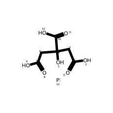 O=C(O)CC(O)(CC(=O)O)C(=O)O.[P]